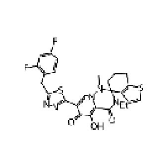 CCN1C(=O)c2c(O)c(=O)c(-c3nnc(Cc4ccc(F)cc4F)s3)cn2N(C)C12CCCc1sccc12